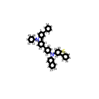 c1ccc(-c2ccc3c(c2)c2cc(-c4ccc(N(c5ccc6ccccc6c5)c5ccc6sc7ccccc7c6c5)cc4)ccc2n3-c2ccccc2)cc1